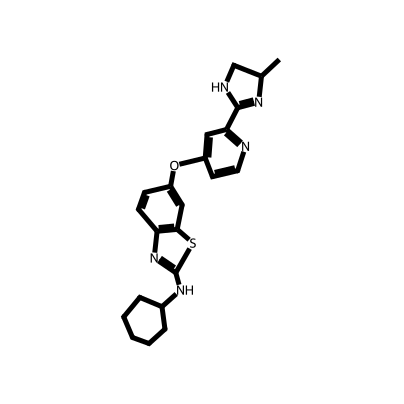 CC1CNC(c2cc(Oc3ccc4nc(NC5CCCCC5)sc4c3)ccn2)=N1